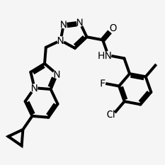 Cc1ccc(Cl)c(F)c1CNC(=O)c1cn(Cc2cn3cc(C4CC4)ccc3n2)nn1